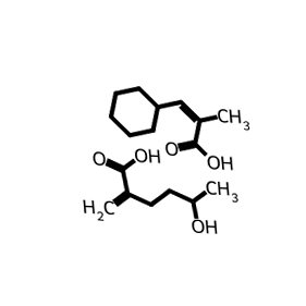 C=C(CCC(C)O)C(=O)O.CC(=CC1CCCCC1)C(=O)O